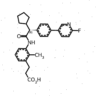 Cc1c(CCC(=O)O)cccc1NC(=O)[C@@H](c1ccc(-c2ccc(F)nc2)cc1)C1CCCC1